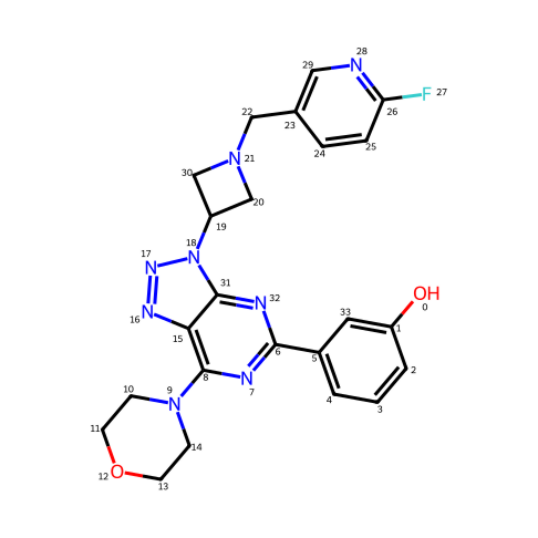 Oc1cccc(-c2nc(N3CCOCC3)c3nnn(C4CN(Cc5ccc(F)nc5)C4)c3n2)c1